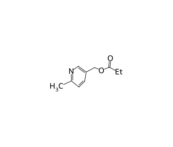 CCC(=O)OCc1ccc(C)nc1